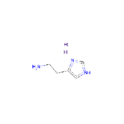 I.I.NCCc1c[nH]cn1